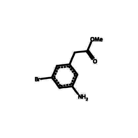 COC(=O)Cc1cc(N)cc(Br)c1